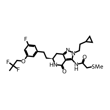 CSCC(=O)Nc1c2c(nn1CCC1CC1)C[C@H](CCc1cc(F)cc(OCC(C)(F)F)c1)NC2=O